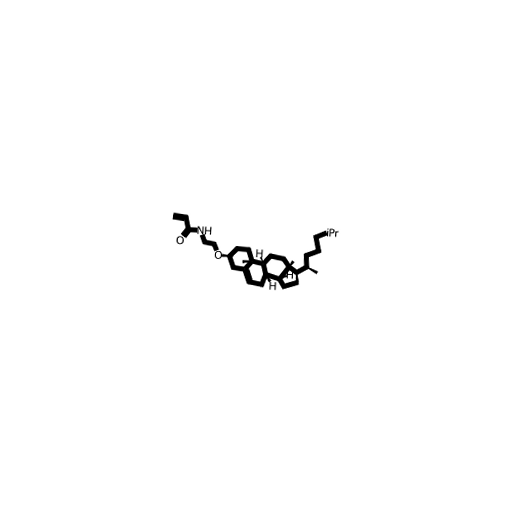 C=CC(=O)NCCO[C@H]1CC[C@@]2(C)C(=CC[C@H]3[C@@H]4CC[C@H]([C@H](C)CCCC(C)C)[C@@]4(C)CC[C@@H]32)C1